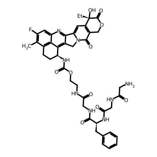 CC[C@@]1(O)C(=O)OCc2c1cc1n(c2=O)Cc2c-1nc1cc(F)c(C)c3c1c2[C@@H](NC(=O)OCCNC(=O)CNC(=O)[C@H](Cc1ccccc1)NC(=O)CNC(=O)CN)CC3